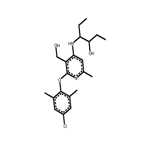 CCC(O)C(CC)Nc1cc(C)nc(Oc2c(C)cc(Cl)cc2C)c1CO